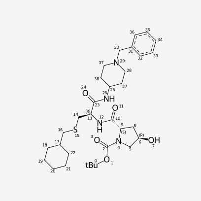 CC(C)(C)OC(=O)N1C[C@H](O)C[C@H]1C(=O)N[C@@H](CSCC1CCCCC1)C(=O)NC1CCN(Cc2ccccc2)CC1